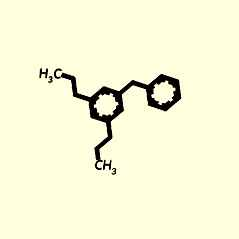 CCCc1cc(CCC)cc(Cc2ccccc2)c1